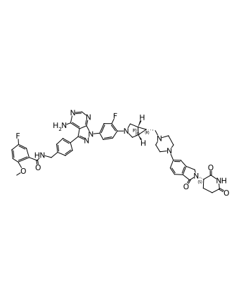 COc1ccc(F)cc1C(=O)NCc1ccc(-c2nn(-c3ccc(N4C[C@@H]5[C@H](CN6CCN(c7ccc8c(c7)CN([C@H]7CCC(=O)NC7=O)C8=O)CC6)[C@@H]5C4)c(F)c3)c3ncnc(N)c23)cc1